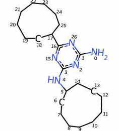 Nc1nc(NC2CCCCCCCCC2)nc(C2CCCCCCCC2)n1